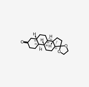 C[C@]12CC[C@H]3[C@@H](CC[C@H]4CC(=O)CC[C@@H]43)[C@@H]1CCC21OCCO1